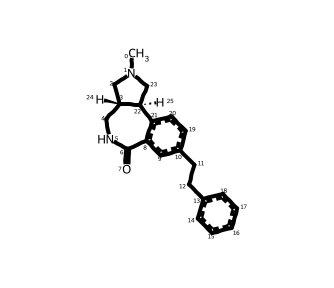 CN1C[C@H]2CNC(=O)c3cc(CCc4ccccc4)ccc3[C@@H]2C1